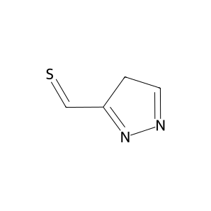 S=CC1=NN=CC1